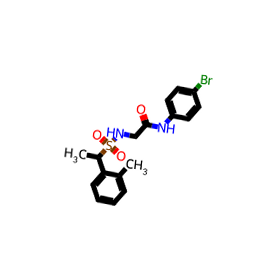 Cc1ccccc1C(C)S(=O)(=O)NCC(=O)Nc1ccc(Br)cc1